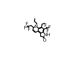 CCCN1c2c(c3c(c(C(F)(F)F)c2CC)NC(=O)C3)C=CC1CC(F)(F)F